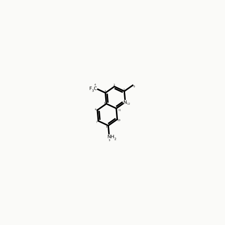 Cc1cc(C(F)(F)F)c2ccc(N)cc2n1